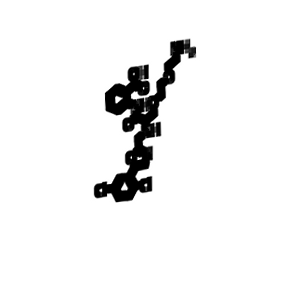 NCCOCCOCC(NCc1ncc(-c2cc(Cl)ccc2Cl)o1)C(=O)Nc1ccccc1C(=O)O